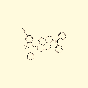 CC1(C)c2cc(C#N)ccc2N(c2ccc3ccc4c(N(c5ccccc5)c5ccccc5)ccc5ccc2c3c54)C1c1ccccc1